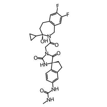 CNC(=O)Nc1ccc2c(c1)CC[C@]21NC(=O)N(CC(=O)N2Cc3cc(F)c(F)cc3CC[C@@]2(O)C2CC2)C1=O